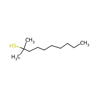 CCCCCCCCC(C)(C)S